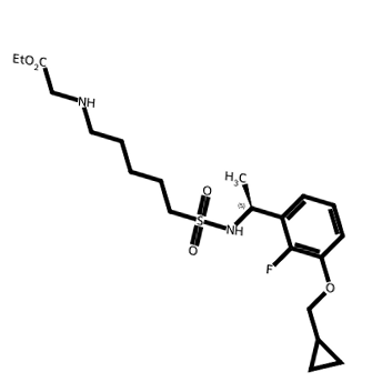 CCOC(=O)CNCCCCCS(=O)(=O)N[C@@H](C)c1cccc(OCC2CC2)c1F